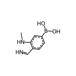 CNc1cc(B(O)O)ccc1C=N